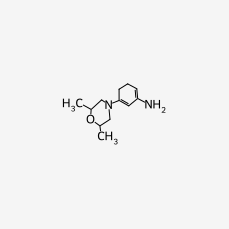 CC1CN(C2=CC(N)=CCC2)CC(C)O1